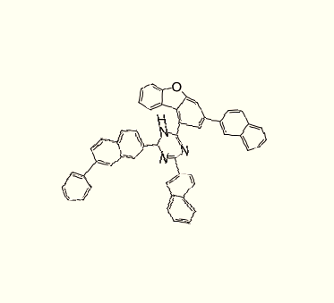 c1ccc(-c2ccc3ccc(C4N=C(c5ccc6ccccc6c5)N=C(c5cc(-c6ccc7ccccc7c6)cc6oc7ccccc7c56)N4)cc3c2)cc1